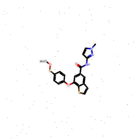 COOSc1ccc(Oc2cc(C(=O)Nc3ccn(C)n3)cc3ccsc23)cc1